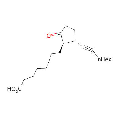 CCCCCCC#C[C@H]1CCC(=O)[C@@H]1CCCCCCC(=O)O